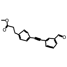 COC(=O)CCc1ccc(C#Cc2cccc(C=O)c2)cc1